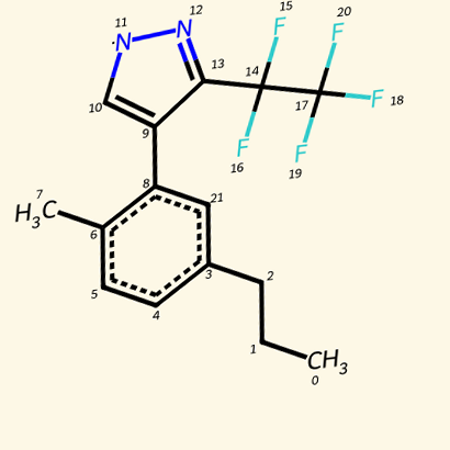 CCCc1ccc(C)c(C2=C[N]N=C2C(F)(F)C(F)(F)F)c1